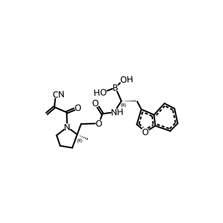 C=C(C#N)C(=O)N1CCC[C@]1(C)COC(=O)N[C@@H](Cc1coc2ccccc12)B(O)O